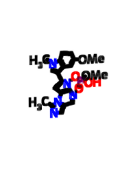 COc1ccc2c(c1)c(-c1cc3c(ncc4cnc(C)n43)n1OP(=O)(O)OC)cn2C